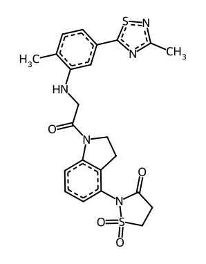 Cc1nsc(-c2ccc(C)c(NCC(=O)N3CCc4c3cccc4N3C(=O)CCS3(=O)=O)c2)n1